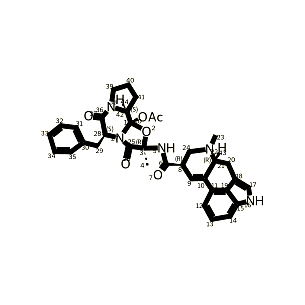 CC(=O)O[C@@]12O[C@@](C)(NC(=O)[C@@H]3C=C4c5cccc6[nH]cc(c56)C[C@H]4N(C)C3)C(=O)N1[C@@H](Cc1ccccc1)C(=O)N1CCC[C@H]12